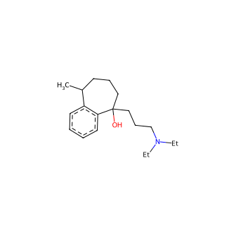 CCN(CC)CCCC1(O)CCCC(C)c2ccccc21